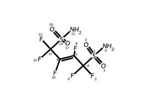 NS(=O)(=O)C(F)(F)C(F)=C(F)C(F)(F)S(N)(=O)=O